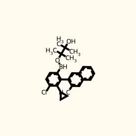 Cc1cc2ccccc2cc1-c1c(BOC(C)(C)C(C)(C)O)ccc(Cl)c1C1CC1